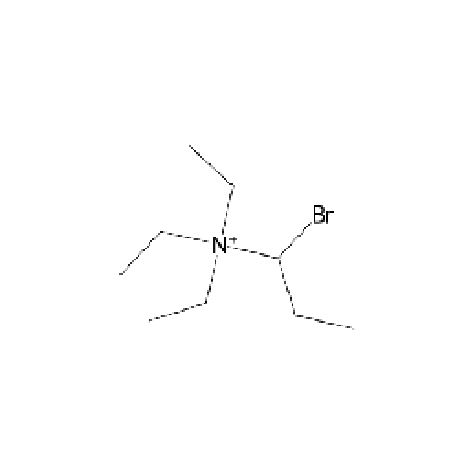 CCC(Br)[N+](CC)(CC)CC